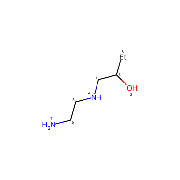 CCC(O)CNCCN